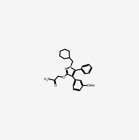 COc1cccc(-c2c(OCC(N)=O)nn(CC3CCCCC3)c2-c2ccccc2)c1